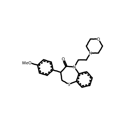 COc1ccc(C2CSc3ccccc3N(CCN3CCOCC3)C2=O)cc1